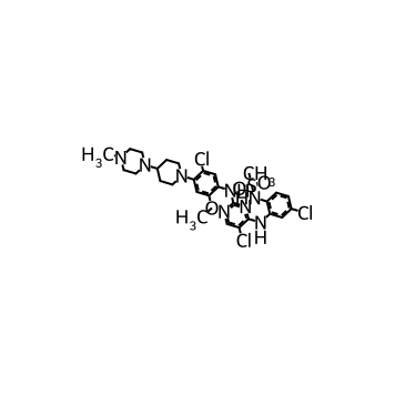 COc1cc(N2CCC(N3CCN(C)CC3)CC2)c(Cl)cc1Nc1ncc(Cl)c(Nc2cc(Cl)ccc2NS(C)(=O)=O)n1